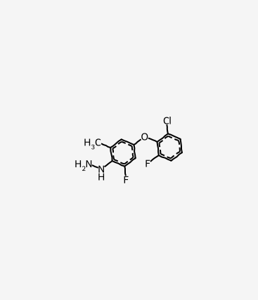 Cc1cc(Oc2c(F)cccc2Cl)cc(F)c1NN